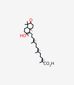 C/C(=C\CC/C(C)=C/CC[C@H]1[C@](C)(O)CCC2C(C)(C)C(=O)CC[C@]21C)CC/C=C(\C)C(=O)O